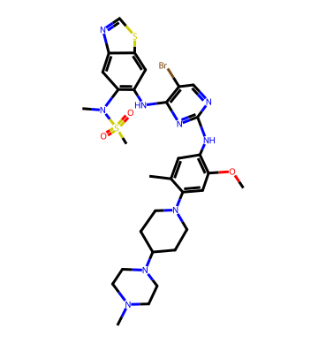 COc1cc(N2CCC(N3CCN(C)CC3)CC2)c(C)cc1Nc1ncc(Br)c(Nc2cc3scnc3cc2N(C)S(C)(=O)=O)n1